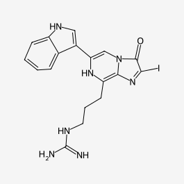 N=C(N)NCCCc1[nH]c(-c2c[nH]c3ccccc23)cn2c(=O)c(I)nc1-2